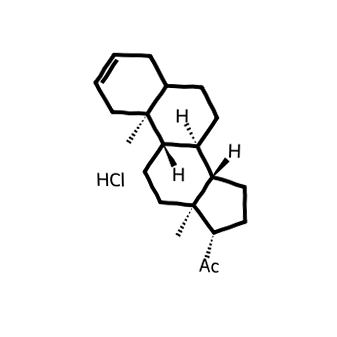 CC(=O)[C@H]1CC[C@H]2[C@@H]3CCC4CC=CC[C@]4(C)[C@H]3CC[C@]12C.Cl